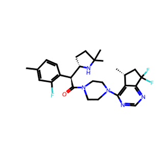 Cc1ccc([C@H](C(=O)N2CCN(c3ncnc4c3[C@H](C)CC4(F)F)CC2)[C@@H]2CCC(C)(C)N2)c(F)c1